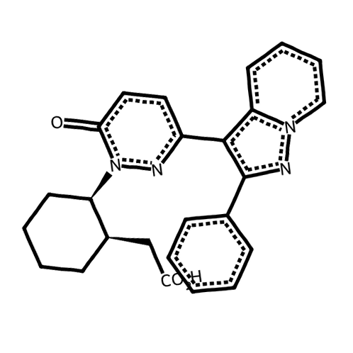 O=C(O)C[C@H]1CCCC[C@H]1n1nc(-c2c(-c3ccccc3)nn3ccccc23)ccc1=O